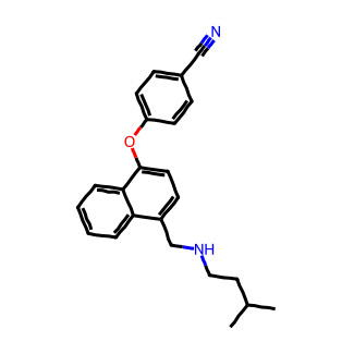 CC(C)CCNCc1ccc(Oc2ccc(C#N)cc2)c2ccccc12